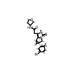 Cn1c(CC(=O)N[C@@H]2CCOC2)c2n(c1=S)C[C@@]1(c3cc(Br)ccc3F)CC21